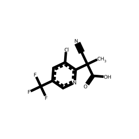 CC(C#N)(C(=O)O)c1ncc(C(F)(F)F)cc1Cl